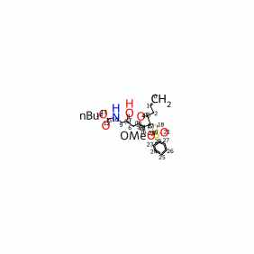 C=CC[C@@H]1O[C@H](C[C@H](O)CNC(=O)OCCCC)[C@H](OC)[C@H]1CS(=O)(=O)c1ccccc1